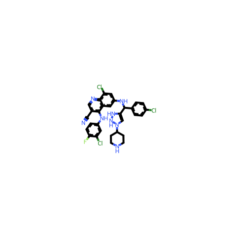 N#Cc1cnc2c(Cl)cc(NC(C3=CN(C4CCNCC4)NN3)c3ccc(Cl)cc3)cc2c1Nc1ccc(F)c(Cl)c1